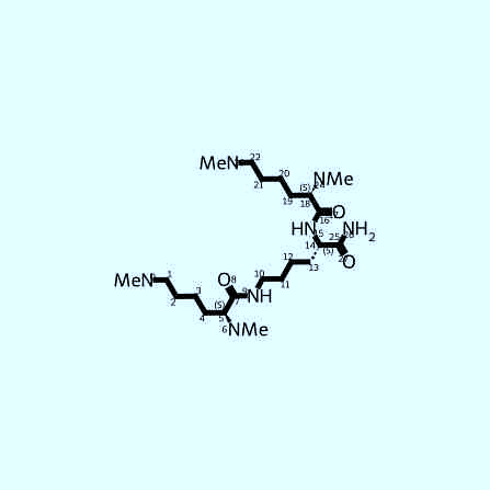 CNCCCC[C@H](NC)C(=O)NCCCC[C@H](NC(=O)[C@H](CCCCNC)NC)C(N)=O